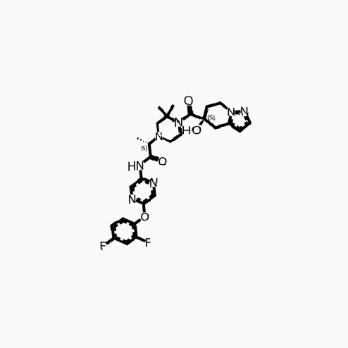 C[C@@H](C(=O)Nc1cnc(Oc2ccc(F)cc2F)cn1)N1CCN(C(=O)[C@]2(O)CCn3nccc3C2)C(C)(C)C1